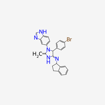 C=C1N/C(=N\C2CCc3ccccc32)C(c2ccc(Br)cc2)N1c1ccc2[nH]cnc2c1